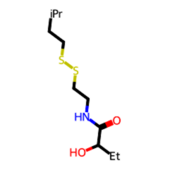 CCC(O)C(=O)NCCSSCCC(C)C